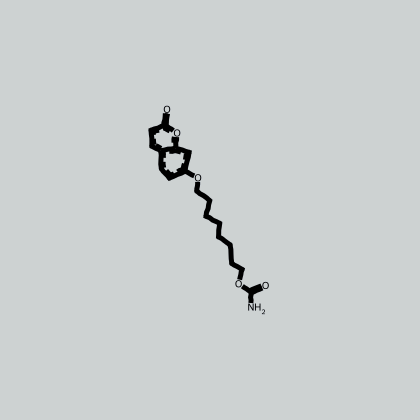 NC(=O)OCCCCCCCCOc1ccc2ccc(=O)oc2c1